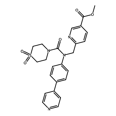 COC(=O)c1ccc(CN(C(=O)N2CCS(=O)(=O)CC2)c2ccc(-c3ccncc3)cc2)nc1